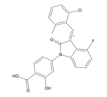 Cc1cccc(Cl)c1/C=C1\C(=O)N(c2ccc(C(=O)O)c(O)c2)c2cccc(F)c21